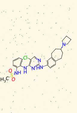 CS(=O)(=O)Nc1ccccc1Nc1nc(Nc2ccc3c(c2)CC[C@@H](N2CCCC2)CC3)ncc1Cl